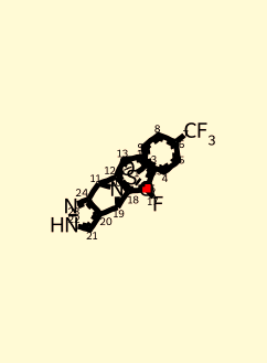 O=S(=O)(c1ccc(C(F)(F)F)cc1)N1C2c3cccc(F)c3C1c1c[nH]nc12